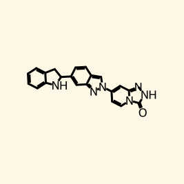 O=c1[nH]nc2cc(-n3cc4ccc(C5Cc6ccccc6N5)cc4n3)ccn12